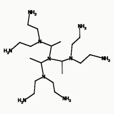 CC(N(CCN)CCN)N(C(C)N(CCN)CCN)C(C)N(CCN)CCN